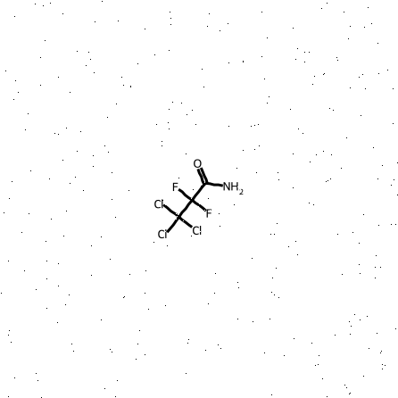 NC(=O)C(F)(F)C(Cl)(Cl)Cl